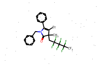 CCC1=C(c2ccccc2)N(Cc2ccccc2)C(=O)C1(C)CC(F)(F)C(F)(F)C(F)(F)C(F)(F)F